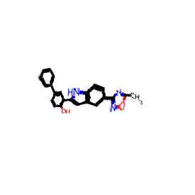 Cc1nc(-c2ccc3[nH]c(-c4cc(-c5ccccc5)ccc4O)cc3c2)no1